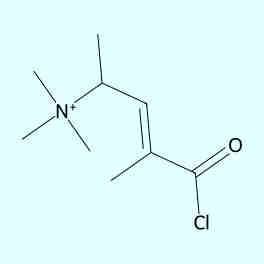 CC(=CC(C)[N+](C)(C)C)C(=O)Cl